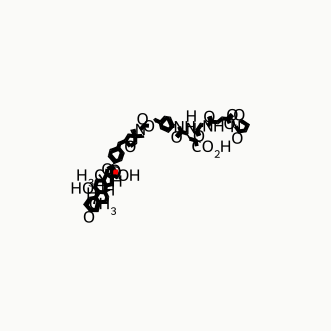 C[C@]12C=CC(=O)C=C1CC[C@@H]1[C@@H]2[C@@H](O)C[C@@]2(C)[C@H]1C[C@H]1O[C@@H](c3ccc(CC4CC5(CO4)CN(C(=O)OCc4ccc(NC(=O)[C@H](CCC(=O)O)NC(=O)CNC(=O)CCC(=O)ON6C(=O)CCC6=O)cc4)C5)cc3)O[C@]12C(=O)CO